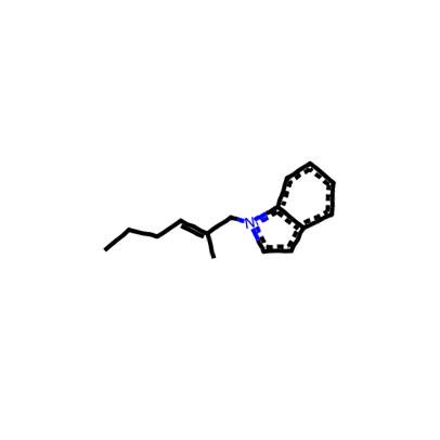 CCC/C=C(\C)Cn1ccc2ccccc21